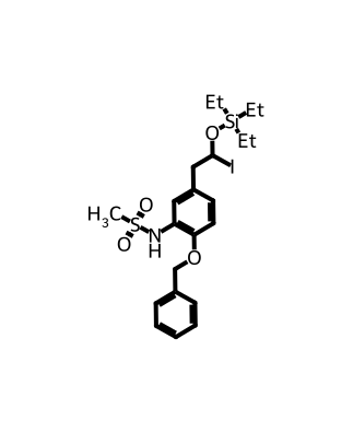 CC[Si](CC)(CC)OC(I)Cc1ccc(OCc2ccccc2)c(NS(C)(=O)=O)c1